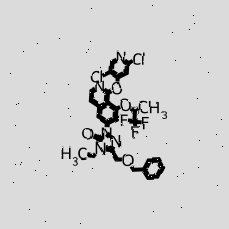 CCn1c(COCc2ccccc2)nn(-c2cc(O[C@@H](C)C(F)(F)F)c3c(Oc4cc(Cl)ncc4Cl)nccc3c2)c1=O